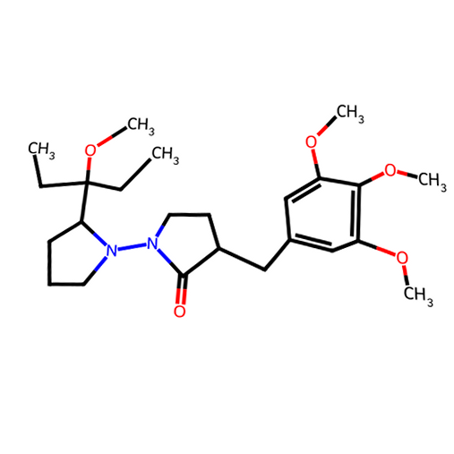 CCC(CC)(OC)C1CCCN1N1CCC(Cc2cc(OC)c(OC)c(OC)c2)C1=O